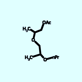 CCCOC(C)COC(C)COC(C)=O